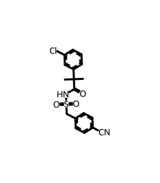 CC(C)(C(=O)NS(=O)(=O)Cc1ccc(C#N)cc1)c1cccc(Cl)c1